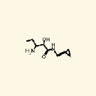 CCC(N)C(O)C(=O)NC=C1CC1